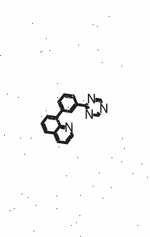 c1cc(-c2ncncn2)cc(-c2cccc3cccnc23)c1